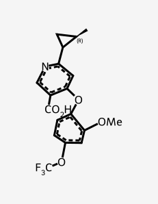 COc1cc(OC(F)(F)F)ccc1Oc1cc(C2C[C@H]2C)ncc1C(=O)O